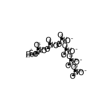 O=[N+]([O-])[O-].O=[N+]([O-])[O-].O=[N+]([O-])[O-].O=[N+]([O-])[O-].O=[N+]([O-])[O-].O=[N+]([O-])[O-].[Fe+3].[Fe+3]